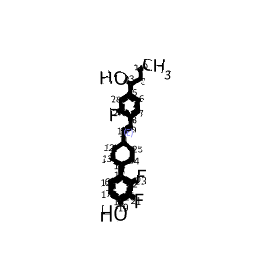 CCCC(O)c1ccc(/C=C/C2CCC(c3ccc(O)c(F)c3F)CC2)c(F)c1